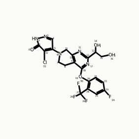 O=c1[nH]ncc(N2CCc3c(nc(C(O)CO)nc3Oc3ccc(F)cc3C(F)(F)F)C2)c1Cl